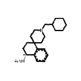 CC(=O)N[C@@H]1CCC2(CCN(CC3CCCCC3)CC2)c2ccccc21